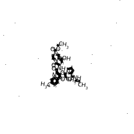 CCCNC(=O)[C@@H]1CCCN1C(=O)[C@@H](C)Oc1cc(C(=O)N[C@@H](CC(=O)O)C(=O)N2CCN(C(=O)OCC)CC2)nc2cc(C)ccc12